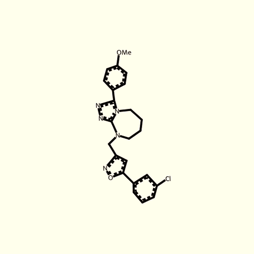 COc1ccc(-c2nnc3n2CCCCN3Cc2cc(-c3cccc(Cl)c3)on2)cc1